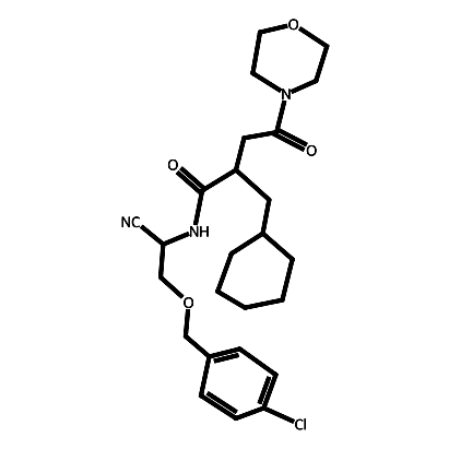 N#CC(COCc1ccc(Cl)cc1)NC(=O)C(CC(=O)N1CCOCC1)CC1CCCCC1